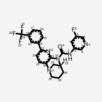 O=C(Nc1cncc(F)c1)N1c2nc(-c3cccc(C(F)(F)F)c3)ccc2N2CCC[C@@H]1C2